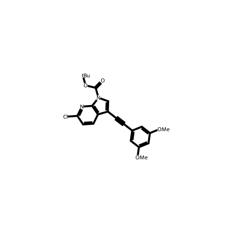 COc1cc(C#Cc2cn(C(=O)OC(C)(C)C)c3nc(Cl)ccc23)cc(OC)c1